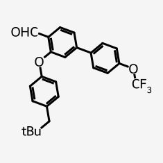 CC(C)(C)Cc1ccc(Oc2cc(-c3ccc(OC(F)(F)F)cc3)ccc2C=O)cc1